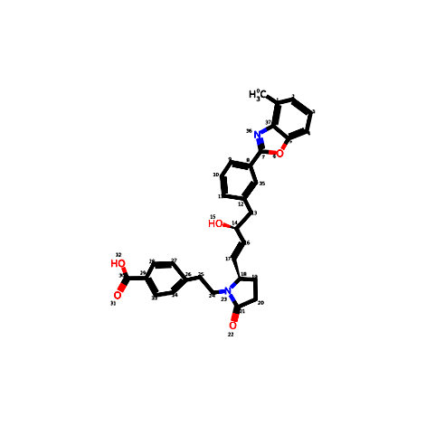 Cc1cccc2oc(-c3cccc(C[C@H](O)/C=C/[C@H]4CCC(=O)N4CCc4ccc(C(=O)O)cc4)c3)nc12